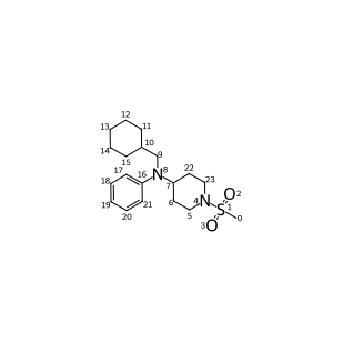 CS(=O)(=O)N1CCC(N(CC2CCCCC2)c2ccccc2)CC1